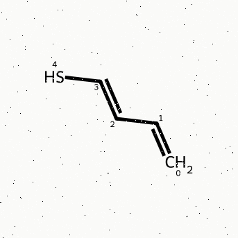 C=C/C=C/S